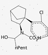 CCCCCC(O)N(C(=O)O)[C@H]1CC2CC[C@@]1(c1ccccc1Cl)C2